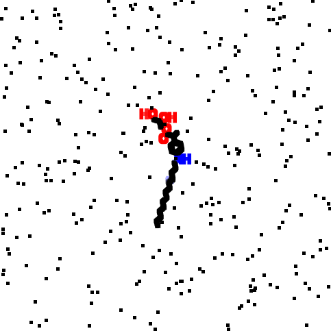 CCCCCCCCC/C=C/CCCNc1ccc(C(C)C(=O)OCC(O)CO)cc1